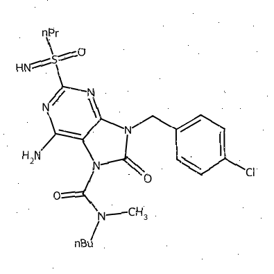 CCCCN(C)C(=O)n1c(=O)n(Cc2ccc(Cl)cc2)c2nc(S(=N)(=O)CCC)nc(N)c21